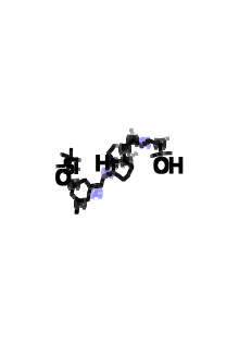 C[C@@H]1C/C(=C/C=C2\CCC[C@]3(C)[C@@H]([C@H](C)/C=C/[C@H](C)C(C)(C)O)CC[C@@H]23)C[C@@H](O[Si](C)(C)C(C)(C)C)C1